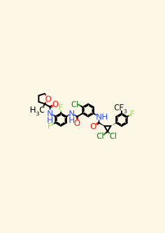 CC1(C(=O)Nc2c(F)ccc(NC(=O)c3cc(NC(=O)[C@H]4[C@H](c5ccc(F)c(C(F)(F)F)c5)C4(Cl)Cl)ccc3Cl)c2F)CCCO1